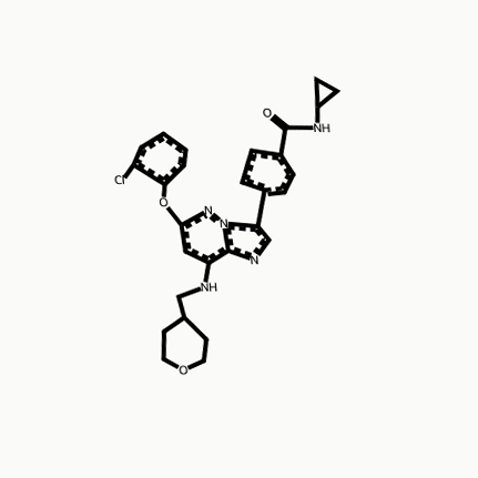 O=C(NC1CC1)c1ccc(-c2cnc3c(NCC4CCOCC4)cc(Oc4ccccc4Cl)nn23)cc1